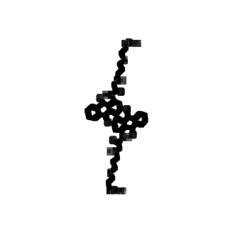 CCCCCCCCCCCCSCCCNCC(=O)Nc1ccc(-c2ccc(NC(=O)CNCCCSCCCCCCCCCCCC)c3c2C(=O)c2ccccc2C3=O)c2c1C(=O)c1ccccc1C2=O